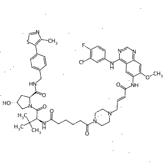 COc1cc2ncnc(Nc3ccc(F)c(Cl)c3)c2cc1NC(=O)/C=C/CN1CCN(C(=O)CCCCC(=O)N[C@H](C(=O)N2C[C@H](O)C[C@H]2C(=O)NCc2ccc(-c3scnc3C)cc2)C(C)(C)C)CC1